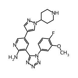 COc1cc(-n2nnnc2-c2cc(-c3cnn(C4CCNCC4)c3)cnc2N)ccc1F